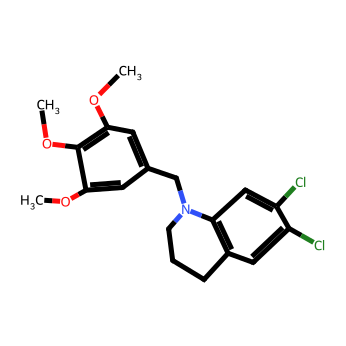 COc1cc(CN2CCCc3cc(Cl)c(Cl)cc32)cc(OC)c1OC